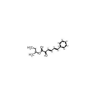 CCC(C)OC(=O)C(=O)/C=C/C=C/c1ccccc1